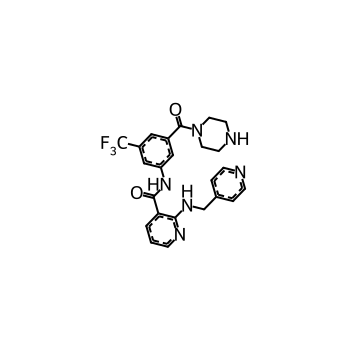 O=C(Nc1cc(C(=O)N2CCNCC2)cc(C(F)(F)F)c1)c1cccnc1NCc1ccncc1